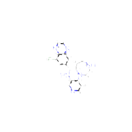 Fc1cc(CNc2cnccc2N2CCCNCC2)cc2nccnc12